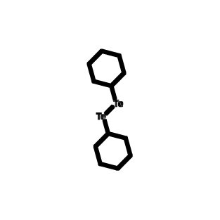 C1CCC([Te][Te]C2CCCCC2)CC1